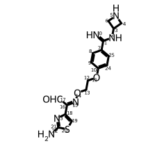 N=C(NC1CNC1)c1ccc(OCCO/N=C(\C=O)c2csc(N)n2)cc1